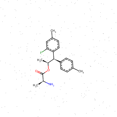 Cc1ccc([C@H](c2ccc(C)cc2F)[C@H](C)OC(=O)[C@H](C)N)cc1